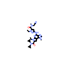 CCn1nc(Nc2nc3c(cc(C(=O)N(C4CC4)C4CC4)n3CC)c3c2ncn3C)cc1C(=O)N(C)CC#N